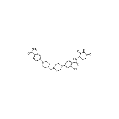 N=c1cc(N2CCN(CC3CCN(c4ccc(C(N)=O)cc4)CC3)CC2)ccn1C(=O)NC1CCC(=O)NC1=O